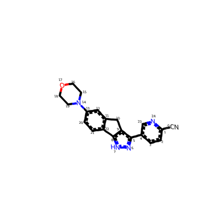 N#Cc1ccc(-c2n[nH]c3c2Cc2cc(N4CCOCC4)ccc2-3)cn1